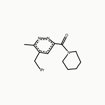 Cc1nnc(C(=O)N2CCCCC2)cc1CC(C)C